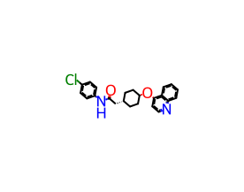 O=C(C[C@H]1CC[C@H](Oc2ccnc3ccccc23)CC1)Nc1ccc(Cl)cc1